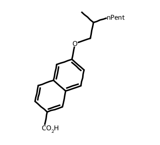 CCCCCC(C)COc1ccc2cc(C(=O)O)ccc2c1